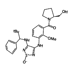 COc1c(Nc2n[s+]([O-])nc2NC(c2ccccc2)C(C)(C)C)cccc1C(=O)N1CCC[C@H]1CO